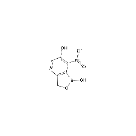 O=[N+]([O-])c1c(O)ccc2c1B(O)OC2